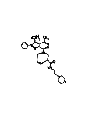 Cc1nnc(N2CCCC(C(=O)NCCN3CCOCC3)C2)c2nn(-c3ccccc3)c(C)c12